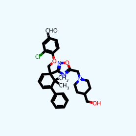 CC1(C)C(c2ccccc2)=CC=CC1(COc1ccc(C=O)cc1Cl)c1noc(CN2CCC(CO)CC2)n1